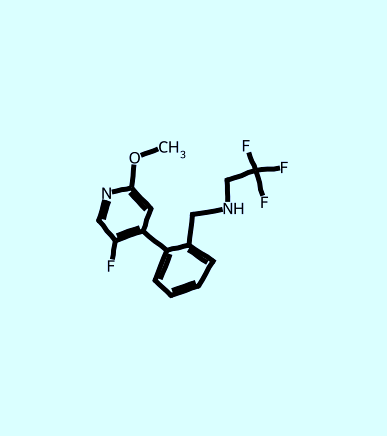 COc1cc(-c2ccccc2CNCC(F)(F)F)c(F)cn1